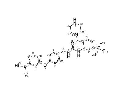 O=C(NCc1ccc(Oc2ccnc(C(=O)O)c2)cc1)Nc1cc(C(F)(F)F)ccc1CN1CCNCC1